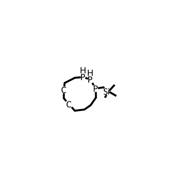 C[Si](C)(C)CP1CCCCCCCCCPP1